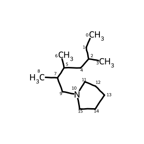 CCC(C)CC(C)C(C)CN1CCCCC1